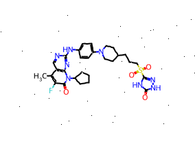 Cc1c(F)c(=O)n(C2CCCC2)c2nc(Nc3ccc(N4CCC(CCCS(=O)(=O)c5n[nH]c(=O)[nH]5)CC4)cc3)ncc12